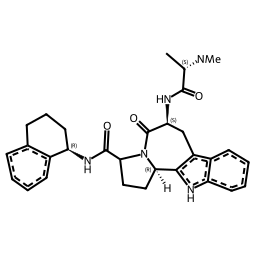 CN[C@@H](C)C(=O)N[C@H]1Cc2c([nH]c3ccccc23)[C@H]2CCC(C(=O)N[C@@H]3CCCc4ccccc43)N2C1=O